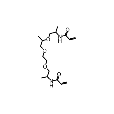 C=CC(=O)NC(C)COCCOCC(C)OCC(C)NC(=O)C=C